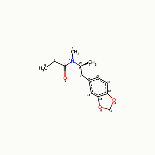 CCC(=O)N(C)[C@@H](C)Cc1ccc2c(c1)OCO2